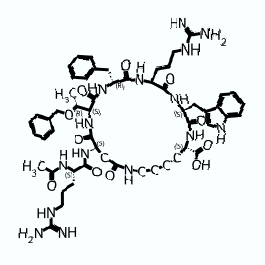 CC(=O)N[C@@H](CCCNC(=N)N)C(=O)N[C@H]1CC(=O)NCCCC[C@@H](C(=O)O)NC(=O)[C@H](Cc2c[nH]c3ccccc23)NC(=O)C(CCCNC(=N)N)NC(=O)[C@@H](Cc2ccccc2)NC(=O)[C@H]([C@@H](C)OCc2ccccc2)NC1=O